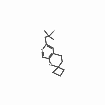 CC(C)(F)Cc1cc2c(cn1)OC1(CCC1)CC2